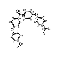 COc1ccc(Oc2ccc(C(=O)c3ccc(Oc4ccc(C(C)C)cc4)cc3)cc2)cc1